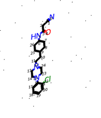 N#CCC(=O)NC1CCC(CCN2CCN(c3ccccc3Cl)CC2)CC1